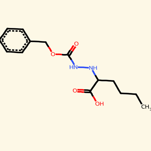 CCCCC(NNC(=O)OCc1ccccc1)C(=O)O